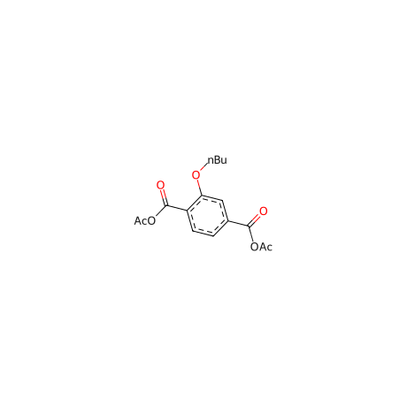 CCCCOc1cc(C(=O)OC(C)=O)ccc1C(=O)OC(C)=O